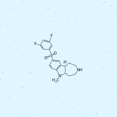 CN1c2ccc(S(=O)(=O)c3cc(F)cc(F)c3)cc2[C@H]2CCNCCC21